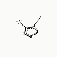 [CH2]c1sccc1I